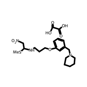 CSC(C[N+](=O)[O-])NCCCOc1cccc(CN2CCCCC2)c1.O=C(O)C(=O)O